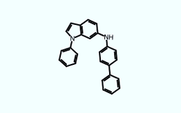 c1ccc(-c2ccc(Nc3ccc4ccn(-c5ccccc5)c4c3)cc2)cc1